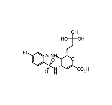 CCc1ccc(S(=O)(=O)N[C@H]2C=C(C(=O)O)O[C@H](CCC(O)(O)O)[C@@H]2NC(C)=O)cc1